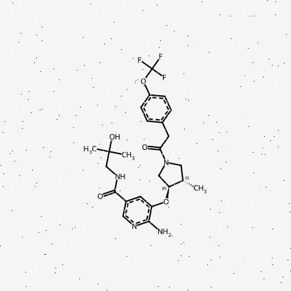 C[C@H]1CN(C(=O)Cc2ccc(OC(F)(F)F)cc2)C[C@@H]1Oc1cc(C(=O)NCC(C)(C)O)cnc1N